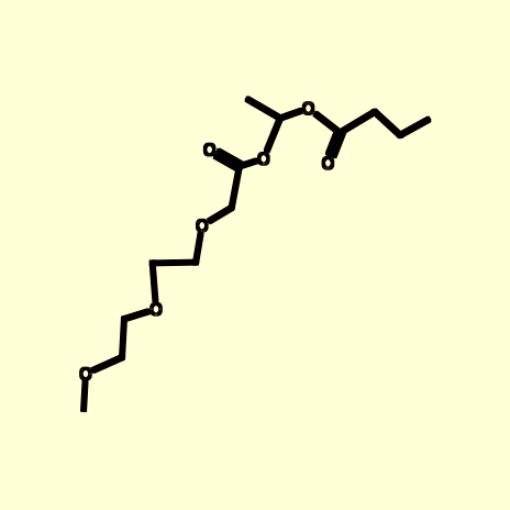 CCCC(=O)OC(C)OC(=O)COCCOCCOC